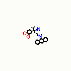 COc1ccc(C(C#N)(CCCN(C)c2c3ccccc3cc3ccccc23)C(C)C)cc1OC